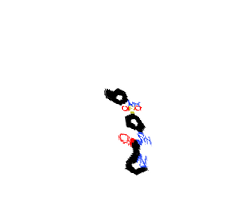 O=C(Nc1ccc(S(=O)(=O)Nc2ccccc2)cc1)c1ccccn1